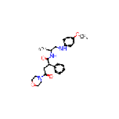 CCCC(CNc1ccc(OC(F)(F)F)cc1)NC(=O)C(CC(=O)N1CCOCC1)c1ccccc1